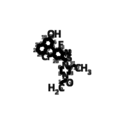 C=CC(=O)N1CCN(c2snc3c(F)c(-c4cc(O)cc5ccccc45)c(Cl)cc23)[C@@H](CC)C1